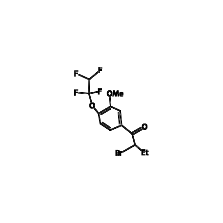 CCC(Br)C(=O)c1ccc(OC(F)(F)C(F)F)c(OC)c1